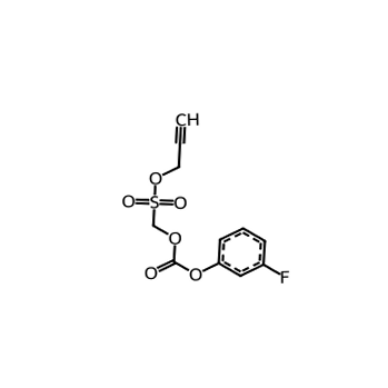 C#CCOS(=O)(=O)COC(=O)Oc1cccc(F)c1